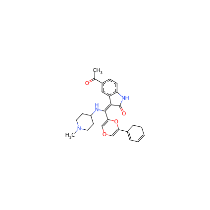 CC(=O)c1ccc2c(c1)C(=C(NC1CCN(C)CC1)C1=COC=C(C3=CC=CCC3)O1)C(=O)N2